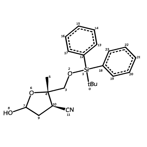 CC(C)(C)[Si](OC[C@@]1(C)OC(O)C[C@@H]1C#N)(c1ccccc1)c1ccccc1